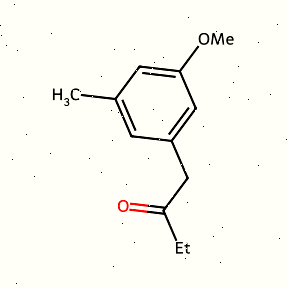 CCC(=O)Cc1cc(C)cc(OC)c1